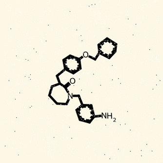 Nc1cccc(CN2CCCCC(Cc3ccc(OCc4ccccc4)cc3)C2=O)c1